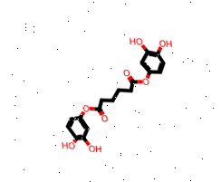 O=C(CCCCC(=O)Oc1ccc(O)c(O)c1)Oc1ccc(O)c(O)c1